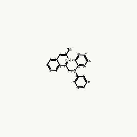 Brc1cc2ccccc2c(CB(c2ccccc2)c2ccccc2)n1